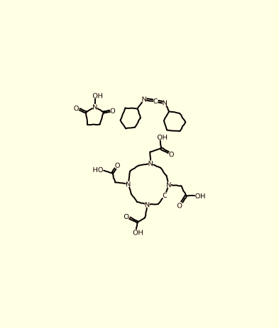 C(=NC1CCCCC1)=NC1CCCCC1.O=C(O)CN1CCN(CC(=O)O)CCN(CC(=O)O)CCN(CC(=O)O)CC1.O=C1CCC(=O)N1O